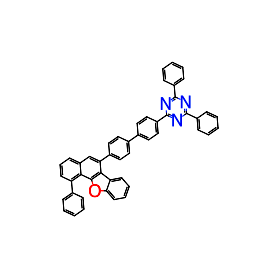 c1ccc(-c2nc(-c3ccccc3)nc(-c3ccc(-c4ccc(-c5cc6cccc(-c7ccccc7)c6c6oc7ccccc7c56)cc4)cc3)n2)cc1